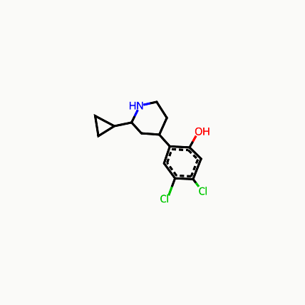 Oc1cc(Cl)c(Cl)cc1C1CCNC(C2CC2)C1